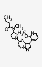 CCCC(=O)N(C)C1CCN(c2ccn3ncc(-c4cccnc4OC)c3n2)C1